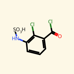 O=C(Cl)c1cccc(NS(=O)(=O)O)c1Cl